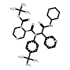 CC(C)(C)OC(=O)N1CCOC[C@@H]1C(=O)N(c1ccc(C(C)(C)C)cc1)C(C(=O)NC1CCCCC1)c1cccnc1